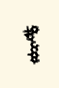 Cc1c(C[C@@H](CNC(=O)C[C@@H](c2ccncc2)C2(C(F)(F)F)CC2)N(C)C)ccc2[nH]ncc12